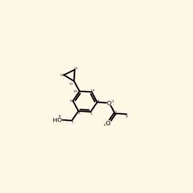 CC(=O)Oc1cc(CO)cc(C2CC2)c1